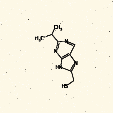 CC(C)c1ncc2nc(CS)[nH]c2n1